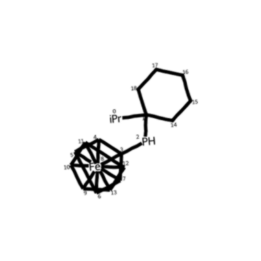 CC(C)C1(P[C]23[CH]4[CH]5[CH]6[CH]2[Fe]56432789[CH]3[CH]2[CH]7[CH]8[CH]39)CCCCC1